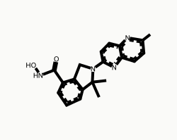 Cc1ccc2nc(N3Cc4c(C(=O)NO)cccc4C3(C)C)ccc2n1